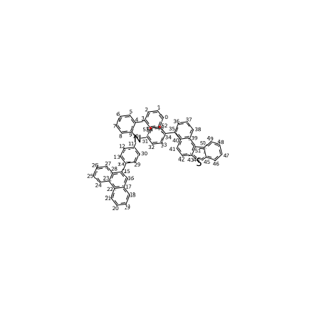 c1ccc(-c2ccccc2N(c2ccc(-c3cc4ccccc4c4ccccc34)cc2)c2ccc(-c3cccc4c3ccc3sc5ccccc5c34)cc2)cc1